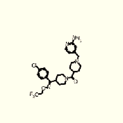 Nc1cc(CN2CCC(C(=O)N3CCC(C(=NOCC(F)(F)F)c4ccc(Cl)cc4)CC3)CC2)ccn1